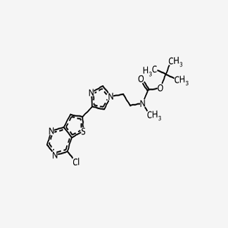 CN(CCn1cnc(-c2cc3ncnc(Cl)c3s2)c1)C(=O)OC(C)(C)C